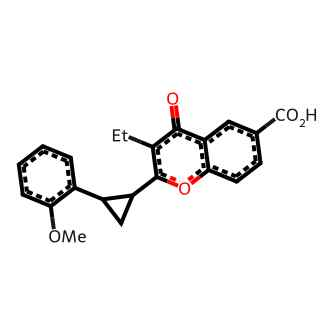 CCc1c(C2CC2c2ccccc2OC)oc2ccc(C(=O)O)cc2c1=O